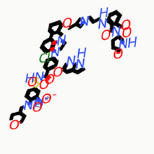 O=C1CCC(N2C(=O)c3cccc(NCCCN4CC(COc5cccc(-c6ccc(Cl)cc6)c5CN5CCN(c6ccc(C(=O)NS(=O)(=O)c7ccc(NCC8CCOCC8)c([N+](=O)[O-])c7)c(Oc7cnc8[nH]ccc8c7)c6)CC5)C4)c3C2=O)C(=O)N1